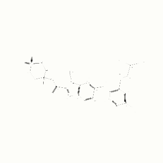 CC(C)n1c(C(=O)NC2(C)CCS(=O)(=O)CC2)nc2ccc(Oc3ncc(Cl)cc3OCC(F)F)nc21